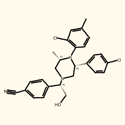 Cc1ccc(N2[C@@H](C)CN([C@H](CO)c3ccc(C#N)cc3)C[C@H]2c2ccc(Cl)cc2)c(Cl)c1